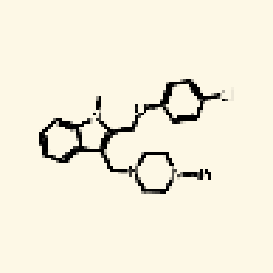 CC(C)N1CCN(Cc2c(COc3ccc(Cl)cc3)n(C)c3ccccc23)CC1